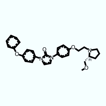 COC[C@H]1CCCN1CCOc1ccc(-n2ccn(-c3ccc(Oc4ccccc4)cc3)c2=O)cc1